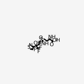 N=S(=O)(CC[C@H](N)C(=O)O)CCC(O)(c1ccsn1)C(F)(F)F